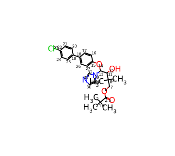 CC(C)(C)C(=O)OCC(C)(C)C(O)C(Oc1ccc(-c2ccc(Cl)cc2)cc1)n1ccnc1